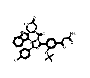 CC(C)(C)Oc1cc(C(=O)CC(N)=O)ccc1C1=N[C@@H](c2ccc(Cl)cc2)[C@@H](c2c[nH]c3ccccc23)N1C(=O)N1CCNC(=O)C1